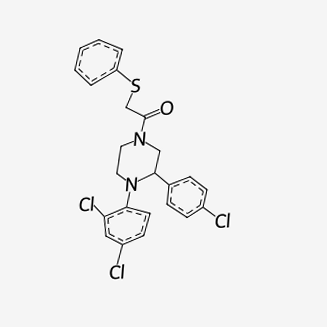 O=C(CSc1ccccc1)N1CCN(c2ccc(Cl)cc2Cl)C(c2ccc(Cl)cc2)C1